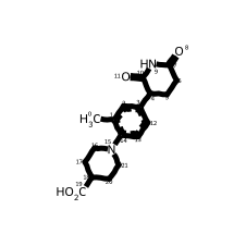 Cc1cc(C2CCC(=O)NC2=O)ccc1N1CCC(C(=O)O)CC1